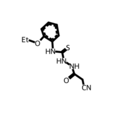 CCOc1ccccc1NC(=S)NNC(=O)CC#N